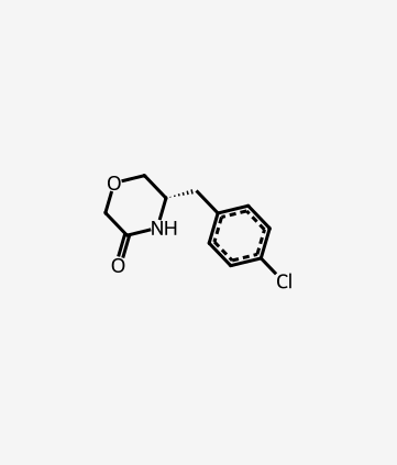 O=C1COC[C@H](Cc2ccc(Cl)cc2)N1